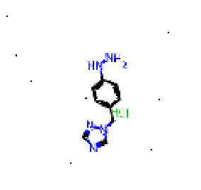 Cl.NNc1ccc(Cn2cncn2)cc1